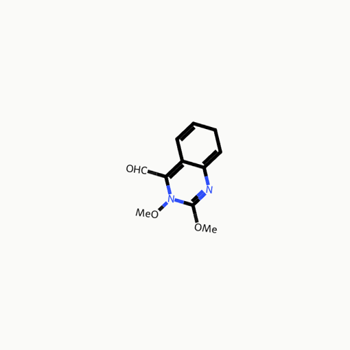 COC1=NC2=CCC=CC2=C(C=O)N1OC